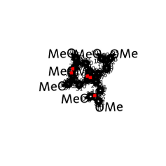 COc1ccc2c(c1)-c1cc(OC)ccc1C2c1cccc(-c2ccc3c(c2)-c2cc(-c4cccc(-n5c6ccc(OC)cc6c6cc(OC)ccc65)c4)ccc2S32(=O)c3ccc(-c4cccc(-n5c6ccc(OC)cc6c6cc(OC)ccc65)c4)cc3-c3cc(-c4cccc(-n5c6ccc(OC)cc6c6cc(OC)ccc65)c4)ccc32)c1